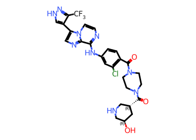 O=C(c1ccc(Nc2nccn3c(-c4c[nH]nc4C(F)(F)F)cnc23)cc1Cl)N1CCN(C(=O)[C@H]2CNC[C@H](O)C2)CC1